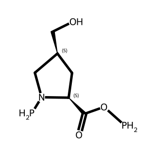 O=C(OP)[C@@H]1C[C@H](CO)CN1P